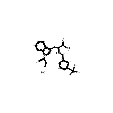 CCC(=S)n1cc(C[C@H](NCc2cccc(C(F)(F)F)c2)C(=O)O)c2ccccc21.Cl